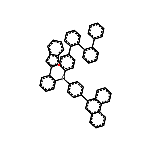 c1ccc(-c2ccccc2-c2ccccc2-c2ccc(N(c3ccc(-c4cc5ccccc5c5ccccc45)cc3)c3ccccc3-c3cc4ccccc4o3)cc2)cc1